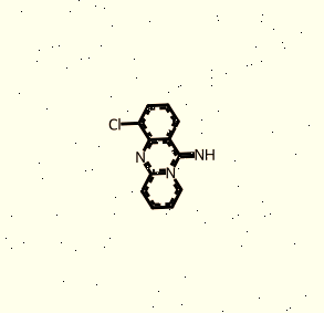 N=c1c2cccc(Cl)c2nc2ccccn12